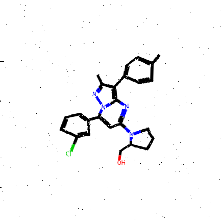 Cc1ccc(-c2c(C)nn3c(-c4cccc(Cl)c4)cc(N4CCCC4CO)nc23)cc1